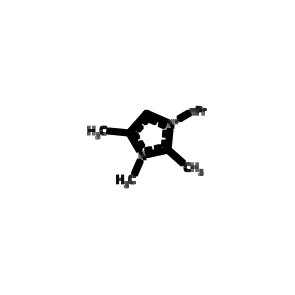 CCC[n+]1cc(C)n(C)c1C